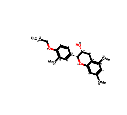 CCOC(=O)COc1ccc([C@H]2Oc3cc(OC)cc(OC)c3C[C@H]2O)cc1OC